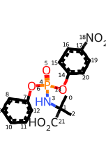 CC(C)(NP(=O)(Oc1ccccc1)Oc1ccc([N+](=O)[O-])cc1)C(=O)O